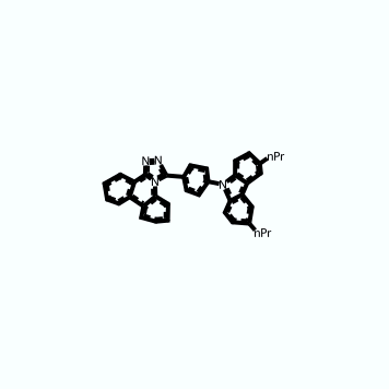 CCCc1ccc2c(c1)c1cc(CCC)ccc1n2-c1ccc(-c2nnc3c4ccccc4c4ccccc4n23)cc1